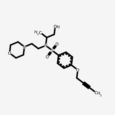 CC#CCOc1ccc(S(=O)(=O)N(CCN2CCOCC2)C(C)CO)cc1